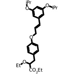 CCOC(=O)C(Cc1ccc(OCC=Cc2cc(OC(C)C)cc(OC(C)C)c2)cc1)OCC